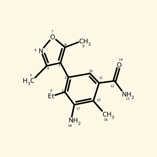 CCc1c(-c2c(C)noc2C)cc(C(N)=O)c(C)c1N